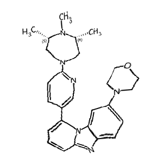 C[C@@H]1CN(c2ccc(-c3cccc4nc5ccc(N6CCOCC6)cc5n34)cn2)C[C@H](C)N1C